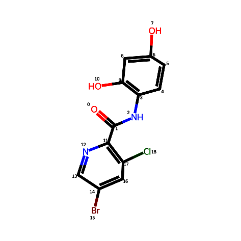 O=C(Nc1ccc(O)cc1O)c1ncc(Br)cc1Cl